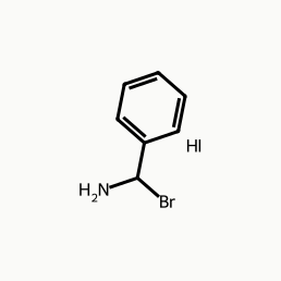 I.NC(Br)c1ccccc1